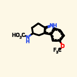 O=C(O)NC1CCc2[nH]c3ccc(OC(F)(F)F)cc3c2C1